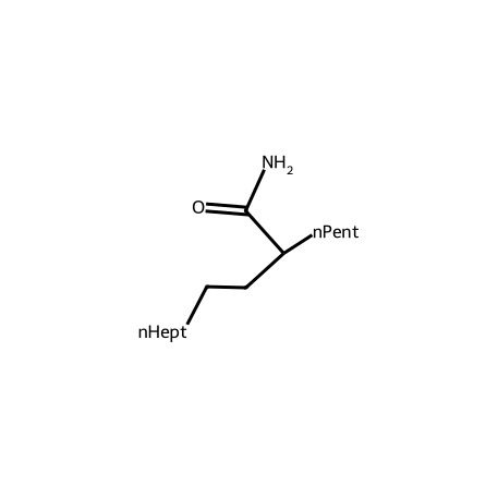 CCCCCCCCCC(CCCCC)C(N)=O